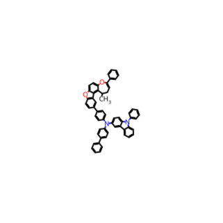 CC1CC=C(c2ccccc2)Oc2ccc3oc4ccc(-c5ccc(N(c6ccc(-c7ccccc7)cc6)c6ccc7c(c6)c6ccccc6n7-c6ccccc6)cc5)cc4c3c21